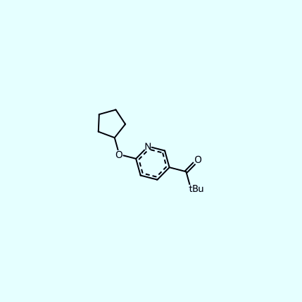 CC(C)(C)C(=O)c1ccc(OC2CCCC2)nc1